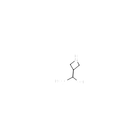 O=C(O)C(O)C1CNC1